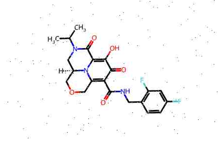 CC(C)N1C[C@@H]2COCc3c(C(=O)NCc4ccc(F)cc4F)c(=O)c(O)c(n32)C1=O